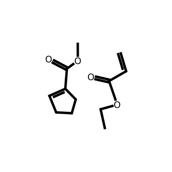 C=CC(=O)OCC.COC(=O)C1=CCCC1